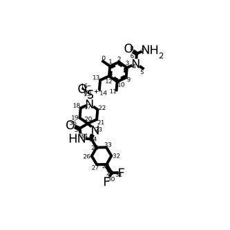 Cc1cc(N(C)C(N)=O)cc(C)c1CC[S@+]([O-])N1CCC2(CC1)N=C(C1CCC(=C(F)F)CC1)NC2=O